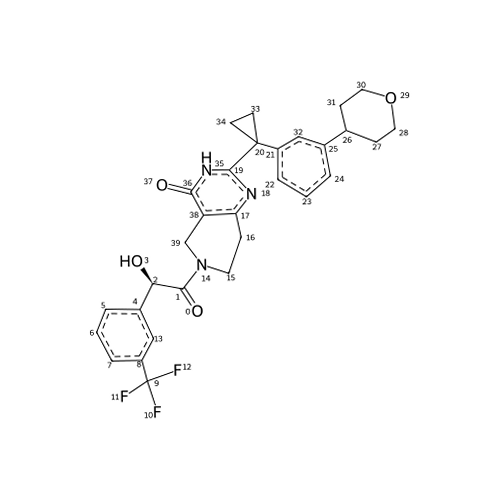 O=C([C@H](O)c1cccc(C(F)(F)F)c1)N1CCc2nc(C3(c4cccc(C5CCOCC5)c4)CC3)[nH]c(=O)c2C1